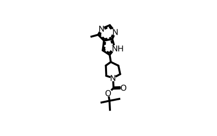 Cc1ncnc2[nH]c(C3CCN(C(=O)OC(C)(C)C)CC3)cc12